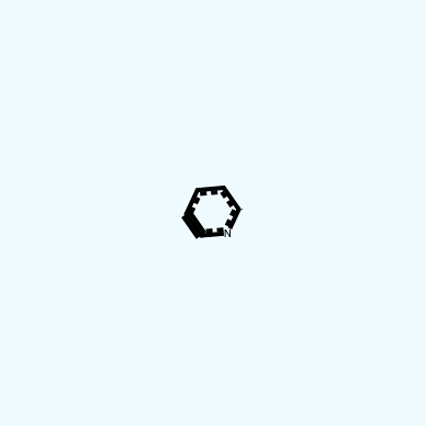 c1cc[c]nc#1